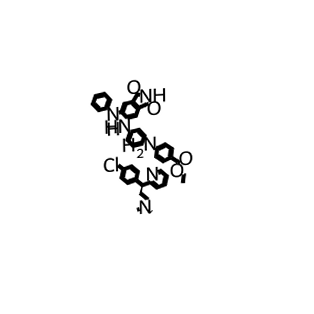 CCOC(=O)c1ccc(N)cc1.CN(C)CC[C@@H](c1ccc(Cl)cc1)c1ccccn1.O=C1NC(=O)c2cc(Nc3ccccc3)c(Nc3ccccc3)cc21